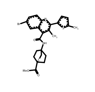 COC(=O)C12CCC(NC(=O)c3c(C)c(-c4ccc(C)s4)nc4ccc(Br)cc34)(CC1)CC2